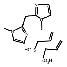 C=CCS(=O)(=O)O.C=CCS(=O)(=O)O.Cn1ccnc1Cc1nccn1C